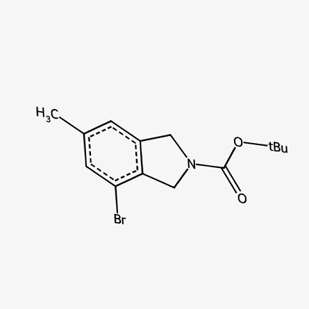 Cc1cc(Br)c2c(c1)CN(C(=O)OC(C)(C)C)C2